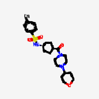 N#Cc1ccc(S(=O)(=O)N[C@H]2CC[C@H](C(=O)N3CCN(C4CCOCC4)CC3)CC2)cc1